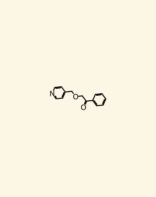 O=C(COCc1ccncc1)c1ccccc1